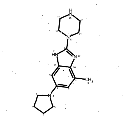 Cc1cc(N2CCCC2)cc2[nH]c(N3CCNCC3)nc12